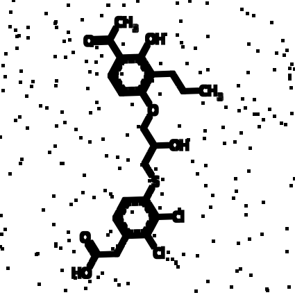 CCCc1c(OCC(O)CSc2ccc(CC(=O)O)c(Cl)c2Cl)ccc(C(C)=O)c1O